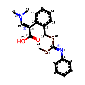 CS/C(=N\c1ccccc1)SCc1ccccc1/C(=C\N(C)C)C(=O)O